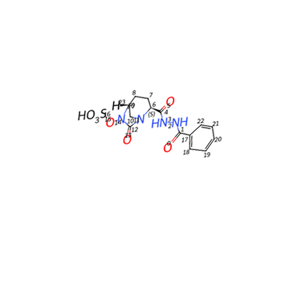 O=C(NNC(=O)[C@@H]1CC[C@@H]2CN1C(=O)N2OS(=O)(=O)O)c1ccccc1